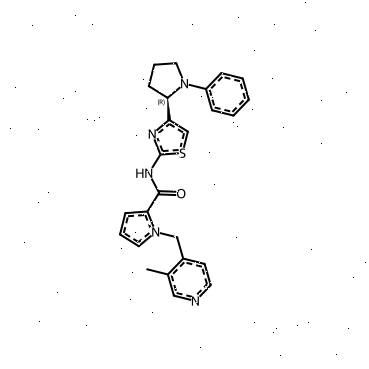 Cc1cnccc1Cn1cccc1C(=O)Nc1nc([C@H]2CCCN2c2ccccc2)cs1